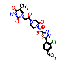 Cc1cn(CC(=O)N2CCN(S(=O)(=O)c3nnc(-c4ccc([N+](=O)[O-])cc4Cl)s3)C(=O)C2)c(=O)[nH]c1=O